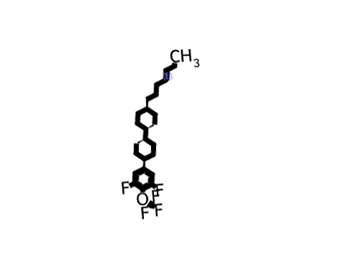 CC/C=C/CCC[C@H]1CC[C@H]([C@H]2CC[C@H](c3cc(F)c(OC(F)(F)F)c(F)c3)CC2)CC1